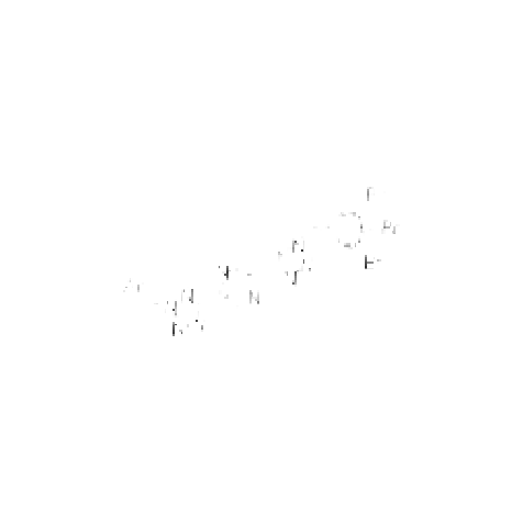 CC(=O)Cn1nnc(-c2cnc(-c3cn(Cc4cc(Br)c(Br)c(Br)c4)nn3)cn2)n1